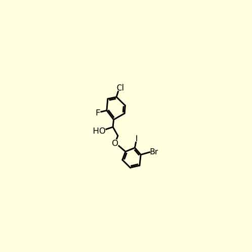 OC(COc1cccc(Br)c1I)c1ccc(Cl)cc1F